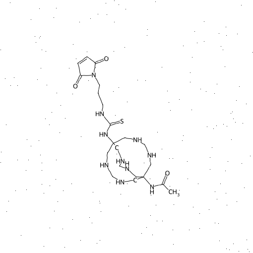 CC(=O)NC12CNCNCC(NC(=S)NCCCN3C(=O)C=CC3=O)(CNCNC1)CNCNC2